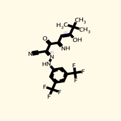 CC(C)(C)/C(O)=C/C(=N)C(=O)/C(C#N)=N/Nc1cc(C(F)(F)F)cc(C(F)(F)F)c1